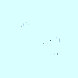 CC(C)N(CCC=O)CCCO